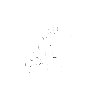 CCOc1cc(O[C@@H]2C[C@@H](C(=O)N[C@]3(C(=O)NS(=O)(=O)OC4(C)CC4)C[C@H]3CC)N(C(=O)[C@@H](NC(=O)OC3(C(F)(F)F)CCCC3)C(C)(C)C)C2)c2cccc(Cl)c2n1